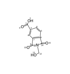 O=C(O)c1ccc2c(c1)C(=O)N(CO)C2=O